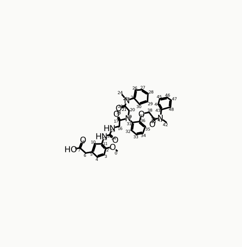 COc1ccc(CC(=O)O)cc1NC(=O)NCC(=O)N(CC(=O)N(C)c1ccccc1)c1ccccc1OCC(=O)N(C)c1ccccc1